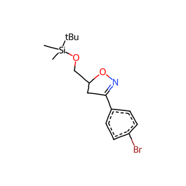 CC(C)(C)[Si](C)(C)OCC1CC(c2ccc(Br)cc2)=NO1